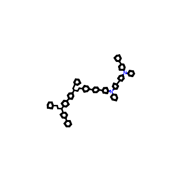 c1ccc(CCC(c2ccc(-c3ccccc3)cc2)c2ccc(-c3ccc(C(CCc4ccc(-c5ccc(-c6ccc(N(c7ccccc7)c7ccc(-c8ccc(N(c9ccccc9)c9ccc(-c%10ccccc%10)cc9)cc8)cc7)cc6)cc5)cc4)Cc4ccccc4)cc3)cc2)cc1